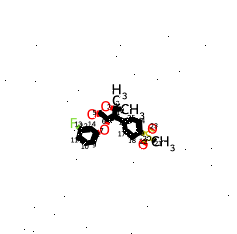 CC1(C)OC(=O)C(Oc2cccc(F)c2)=C1c1ccc(S(C)(=O)=O)cc1